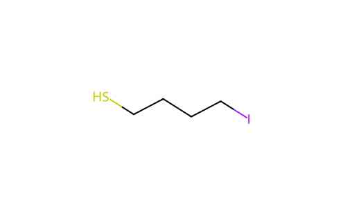 SCCCCI